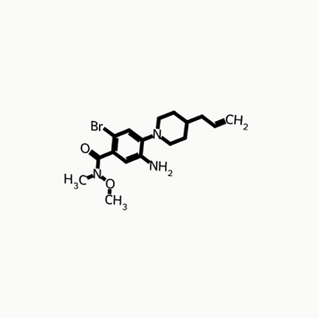 C=CCC1CCN(c2cc(Br)c(C(=O)N(C)OC)cc2N)CC1